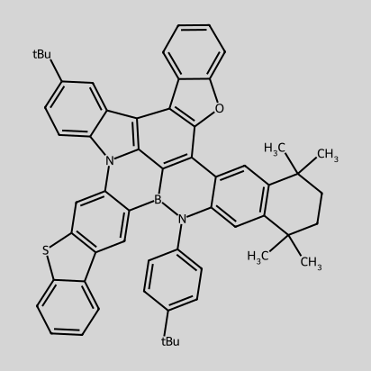 CC(C)(C)c1ccc(N2B3c4cc5c(cc4-n4c6ccc(C(C)(C)C)cc6c6c7c(oc8ccccc87)c(c3c64)-c3cc4c(cc32)C(C)(C)CCC4(C)C)sc2ccccc25)cc1